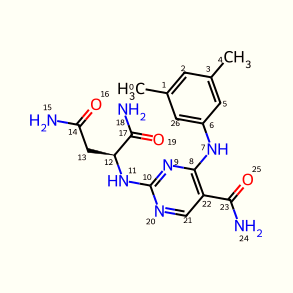 Cc1cc(C)cc(Nc2nc(N[C@@H](CC(N)=O)C(N)=O)ncc2C(N)=O)c1